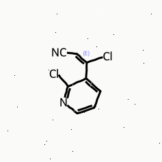 N#C/C=C(/Cl)c1cccnc1Cl